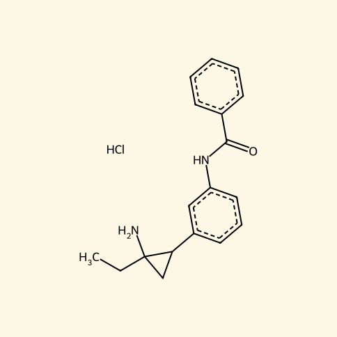 CCC1(N)CC1c1cccc(NC(=O)c2ccccc2)c1.Cl